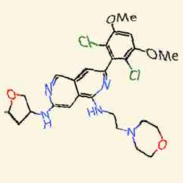 COc1cc(OC)c(Cl)c(-c2cc3cnc(NC4CCOC4)cc3c(NCCN3CCOCC3)n2)c1Cl